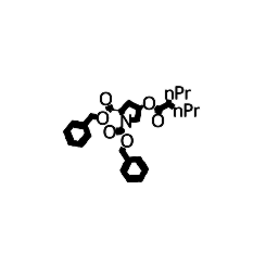 CCCC(CCC)C(=O)O[C@@H]1C[C@@H](C(=O)OCc2ccccc2)N(C(=O)OCc2ccccc2)C1